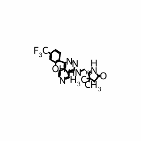 CC1(C)CC(=O)N[C@H]1CNc1nnc(-c2ccc(C(F)(F)F)cc2O)c2ccncc12